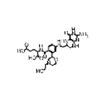 Nc1nc2c(c(=O)[nH]1)NC(CNc1ccc(C(=O)NC(CCC(=O)O)C(=O)O)c(C3CN(CCO)CCO3)c1)CN2